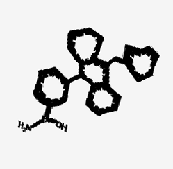 NB(O)c1cccc(-c2c3ccccc3c(-c3ccccc3)c3ccccc23)c1